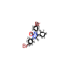 CC1C(c2ccccc2)N(c2ccc(Br)cc2)C(=O)N1c1ccc(Br)cc1